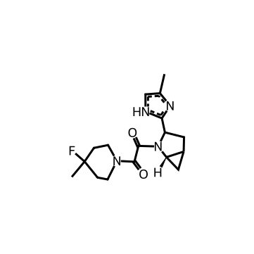 Cc1c[nH]c(C2CC3C[C@@H]3N2C(=O)C(=O)N2CCC(C)(F)CC2)n1